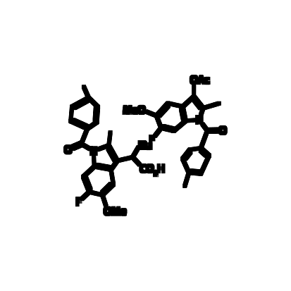 CCC(C)C(C(=O)O)c1c(C)n(C(=O)c2ccc(C)cc2)c2cc(F)c(OC)cc12.COc1cc2c(OC(C)=O)c(C)n(C(=O)c3ccc(C)cc3)c2cc1F